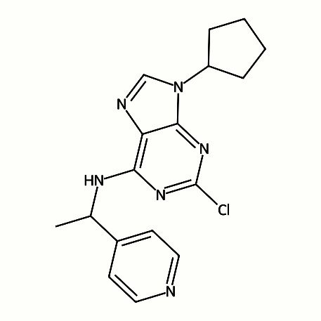 CC(Nc1nc(Cl)nc2c1ncn2C1CCCC1)c1ccncc1